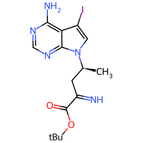 C[C@@H](CC(=N)C(=O)OC(C)(C)C)n1cc(I)c2c(N)ncnc21